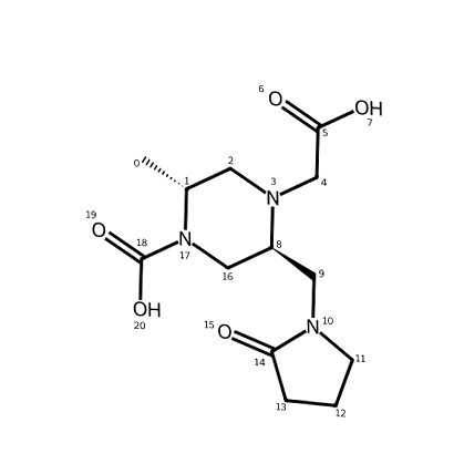 C[C@@H]1CN(CC(=O)O)[C@@H](CN2CCCC2=O)CN1C(=O)O